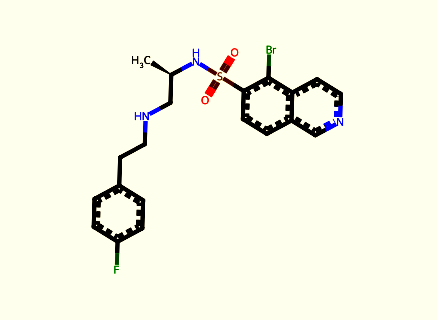 C[C@H](CNCCc1ccc(F)cc1)NS(=O)(=O)c1ccc2cnccc2c1Br